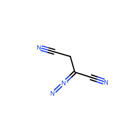 N#CCC(C#N)=[N+]=[N-]